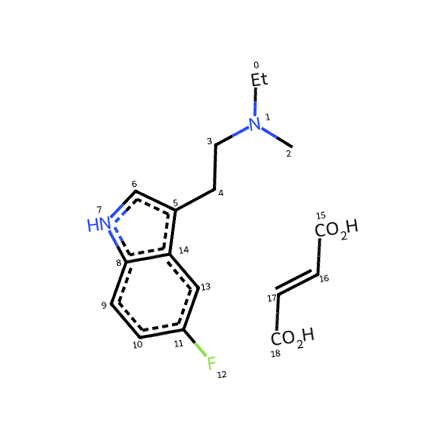 CCN(C)CCc1c[nH]c2ccc(F)cc12.O=C(O)/C=C/C(=O)O